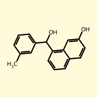 Cc1cccc(C(O)c2cccc3ccc(O)cc23)c1